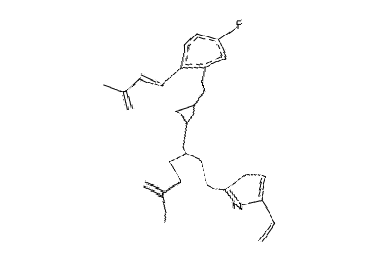 C=CC1=CCC(CCC(CCC(=C)C)C2CC2Cc2cc(F)ccc2/C=C/C(=C)C)=N1